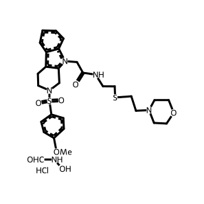 COc1ccc(S(=O)(=O)N2CCc3c(n(CC(=O)NCCSCCN4CCOCC4)c4ccccc34)C2)cc1.Cl.O=CNO